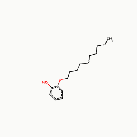 CCCCCCCCCCOc1ccccc1O